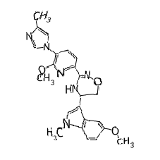 COc1ccc2c(c1)c(C1CON=C(c3ccc(-n4cnc(C)c4)c(OC)n3)N1)cn2C